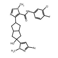 CC(=O)c1cc(C2(O)CC3CC(c4ncn(C)c4C(=O)Nc4ccc(F)c(Cl)c4)CC3C2)n(C)n1